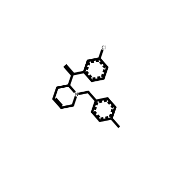 C=C(c1cccc(Cl)c1)C1CC=CCN1Cc1ccc(C)cc1